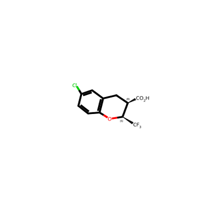 O=C(O)[C@@H]1Cc2cc(Cl)ccc2O[C@@H]1C(F)(F)F